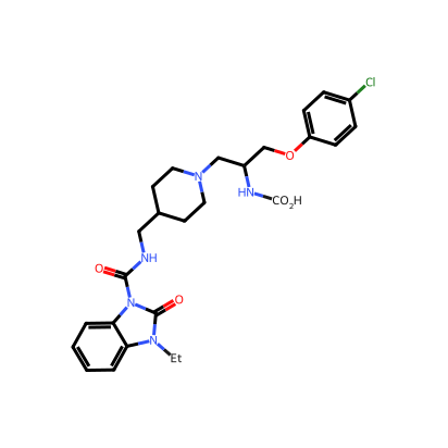 CCn1c(=O)n(C(=O)NCC2CCN(CC(COc3ccc(Cl)cc3)NC(=O)O)CC2)c2ccccc21